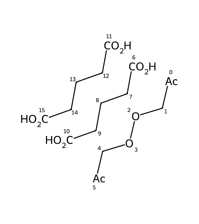 CC(=O)COOCC(C)=O.O=C(O)CCCC(=O)O.O=C(O)CCCC(=O)O